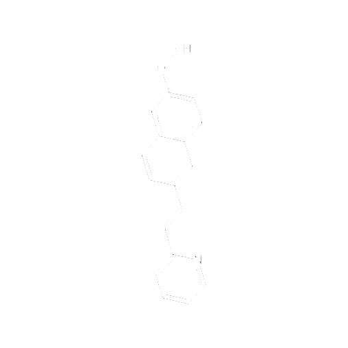 COc1ccc2cc(/C=C/c3ccccn3)ccc2c1